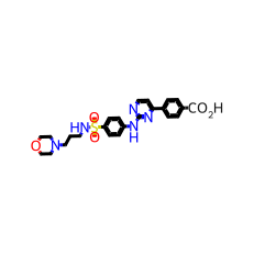 O=C(O)c1ccc(-c2ccnc(Nc3ccc(S(=O)(=O)NCCCN4CCOCC4)cc3)n2)cc1